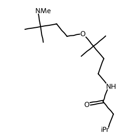 CNC(C)(C)CCOC(C)(C)CCNC(=O)CC(C)C